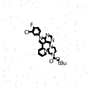 CC(C)(C)OC(=O)N1CCN(c2ncnc3c2c(-c2ccccn2)cn3-c2ccc(F)c(Cl)c2)CC1